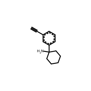 C#Cc1cccc(C2(N)CCCCC2)c1